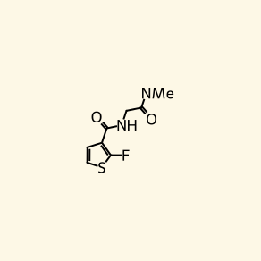 CNC(=O)CNC(=O)c1ccsc1F